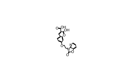 O=C(O)C(=Cc1ccc(OCCn2c(=O)oc3cccnc32)cc1)C(=O)O